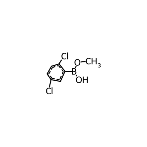 COB(O)c1cc(Cl)ccc1Cl